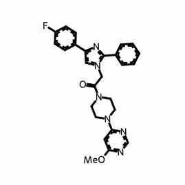 COc1cc(N2CCN(C(=O)Cn3cc(-c4ccc(F)cc4)nc3-c3ccccc3)CC2)ncn1